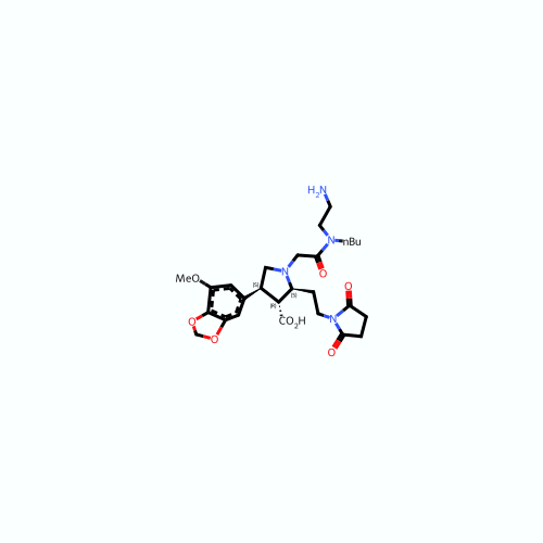 CCCCN(CCN)C(=O)CN1C[C@H](c2cc(OC)c3c(c2)OCO3)[C@@H](C(=O)O)[C@@H]1CCN1C(=O)CCC1=O